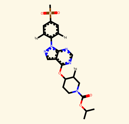 [3H]c1cc(S(C)(=O)=O)cc([3H])c1-n1ncc2c(OC3CCN(C(=O)OC(C)C)CC3[3H])ncnc21